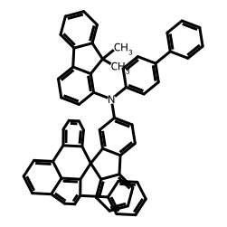 CC1(C)c2ccccc2-c2cccc(N(c3ccc(-c4ccccc4)cc3)c3ccc4c(c3)C3(c5ccccc5-4)c4ccccc4-c4cccc5ccc(-c6ccccc6)c3c45)c21